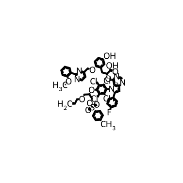 C=CCOCC(COS(=O)(=O)c1ccc(C)cc1)Oc1c(Cl)c(C)c(-n2c(-c3ccc(F)cc3)cc3ncnc(OC(Cc4cc(O)ccc4OCc4ccnc(-c5ccccc5OC)n4)C(=O)O)c32)c(C)c1Cl